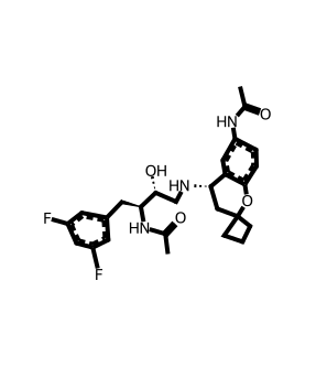 CC(=O)Nc1ccc2c(c1)[C@@H](NC[C@@H](O)[C@H](Cc1cc(F)cc(F)c1)NC(C)=O)CC1(CCC1)O2